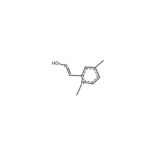 Cc1cc[n+](C)c(C=NO)c1